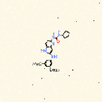 COc1cc(NC2=Cc3nc(NC(=O)NC4CCCC4)ccc3NC2)cc(OC)c1